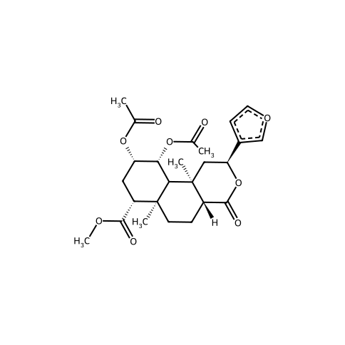 COC(=O)[C@@H]1C[C@H](OC(C)=O)[C@H](OC(C)=O)C2[C@@]1(C)CC[C@H]1C(=O)O[C@H](c3ccoc3)C[C@]21C